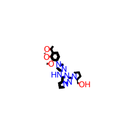 COc1c(C(C)=O)ccc(-n2cnc(Nc3nc(N4CCC[C@H]4CO)nn4cccc34)c2)c1OC